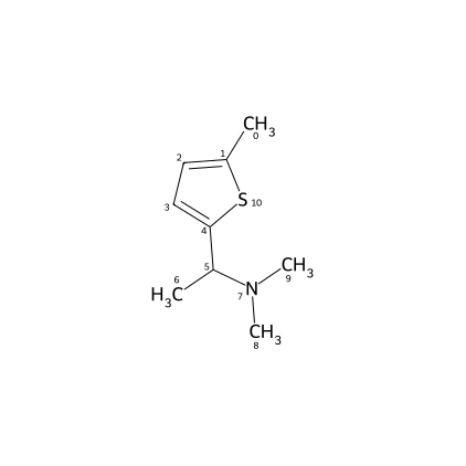 Cc1ccc(C(C)N(C)C)s1